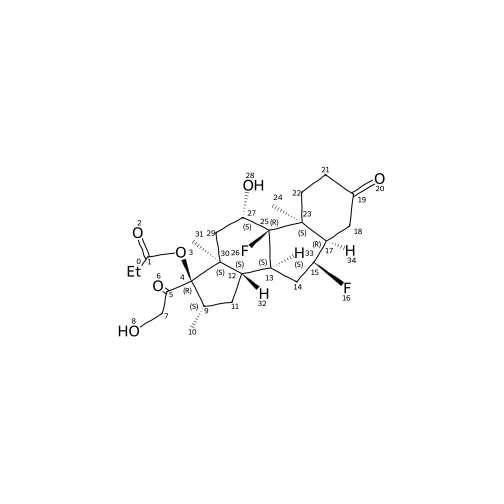 CCC(=O)O[C@]1(C(=O)CO)[C@@H](C)C[C@H]2[C@@H]3C[C@H](F)[C@@H]4CC(=O)CC[C@]4(C)[C@@]3(F)[C@@H](O)C[C@@]21C